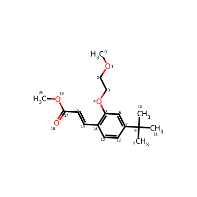 COCCOc1cc(C(C)(C)C)ccc1C=CC(=O)OC